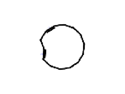 C1=C\CCCCCCCCC/C=C/C/1